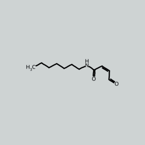 CCCCCCCNC(=O)/C=C\C=O